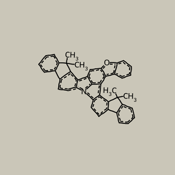 CC1(C)c2ccccc2-c2ccc3c(c21)c1cc2oc4ccccc4c2c2c4c5c(ccc4n3c12)-c1ccccc1C5(C)C